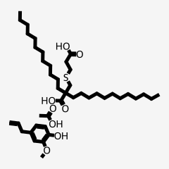 C=CCc1ccc(O)c(OC)c1.CC(=O)O.CCCCCCCCCCCCC(CCCCCCCCCCCC)(CSCCC(=O)O)C(=O)O